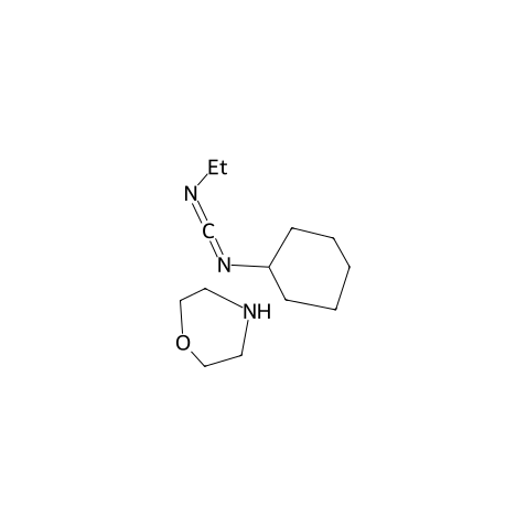 C1COCCN1.CCN=C=NC1CCCCC1